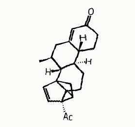 CC(=O)[C@@]12C=CC3(CC1)[C@H]1[C@H](CC[C@@]32C)[C@H]2CCC(=O)C=C2C[C@@H]1C